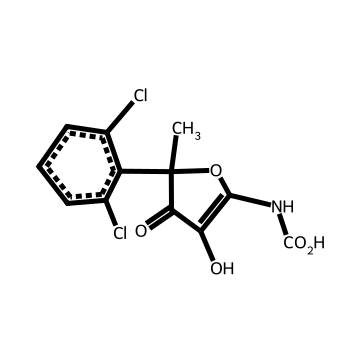 CC1(c2c(Cl)cccc2Cl)OC(NC(=O)O)=C(O)C1=O